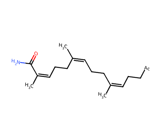 CC(=O)CCC=C(C)CCC=C(C)CCC=C(C)C(N)=O